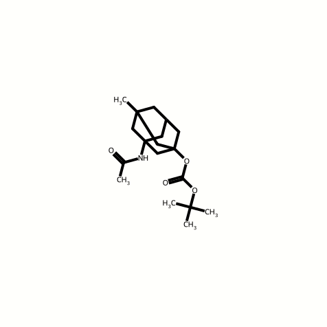 CC(=O)NC12CC3CC(C)(C1)CC(OC(=O)OC(C)(C)C)(C3)C2